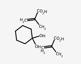 C=C(C)C(=O)O.C=C(C)C(=O)O.OC1(O)CCCCC1